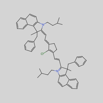 CC(C)CCN1/C(=C/C=C2\CCC(/C=C/C3=[N+](CCC(C)C)c4ccc5ccccc5c4C3(C)Cc3ccccc3)=C2Cl)C(C)(Cc2ccccc2)c2c1ccc1ccccc21